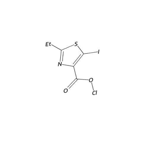 CCc1nc(C(=O)OCl)c(I)s1